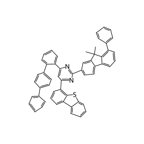 CC1(C)c2cc(-c3nc(-c4ccccc4-c4ccc(-c5ccccc5)cc4)cc(-c4cccc5c4sc4ccccc45)n3)ccc2-c2cccc(-c3ccccc3)c21